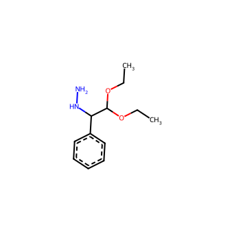 CCOC(OCC)C(NN)c1ccccc1